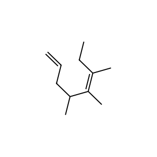 C=CCC(C)C(C)=C(C)CC